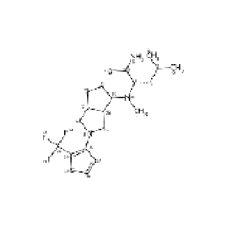 CC(C)C[C@@H](C(N)=O)N(C)C1CCC2CN(c3ccsc3C(F)(F)F)CC21